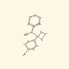 OC(c1ncccn1)C1(c2ccc(F)cc2)CCC1